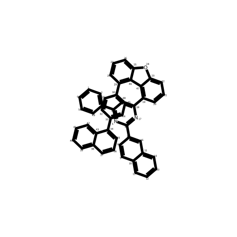 c1ccc(-c2nc(-c3ccc4ccccc4c3)nc(-c3cccc4oc5cccc(-c6ccc(-c7cccc8ccccc78)cc6)c5c34)n2)cc1